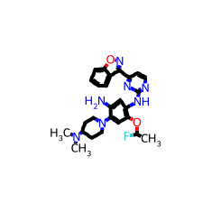 CC(F)Oc1cc(N2CCC(N(C)C)CC2)c(N)cc1Nc1nccc(-c2noc3ccccc23)n1